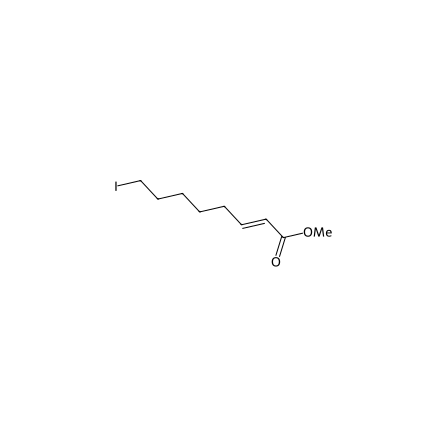 COC(=O)C=CCCCCCI